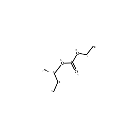 CCOC(=O)O[C@@H](C)CC